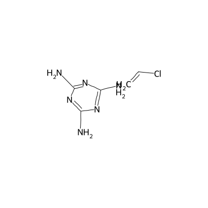 C=CCl.Nc1nc(N)nc(N)n1